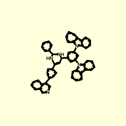 C1=C(c2ccc(-c3cncc4ccccc34)cc2)NC(c2ccccc2)NC1c1cc(-n2c3ccccc3c3ccccc32)cc(-n2c3ccccc3c3ccccc32)c1